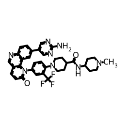 CN1CCC(NC(=O)C2CCN(c3ccc(-n4c(=O)ccc5cnc6ccc(-c7cnc(N)nc7)cc6c54)cc3C(F)(F)F)CC2)CC1